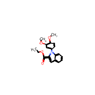 CCOC(=O)c1cc2ccccc2n1-c1ccc(OC)c(OC)c1